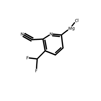 N#Cc1n[c]([Mg][Cl])ccc1C(F)F